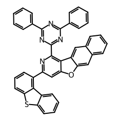 c1ccc(-c2nc(-c3ccccc3)nc(-c3nc(-c4cccc5sc6ccccc6c45)cc4oc5cc6ccccc6cc5c34)n2)cc1